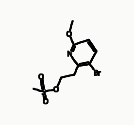 COc1ccc(Br)c(CCOS(C)(=O)=O)n1